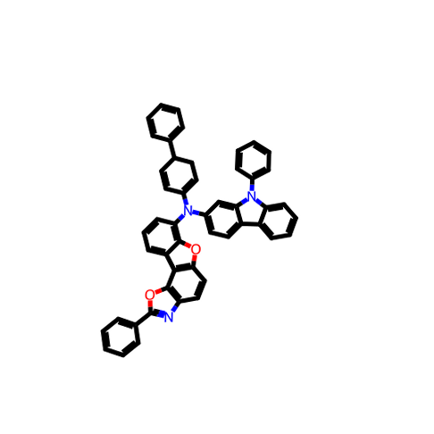 C1=CC(c2ccccc2)CC=C1N(c1ccc2c3ccccc3n(-c3ccccc3)c2c1)c1cccc2c1oc1ccc3nc(-c4ccccc4)oc3c12